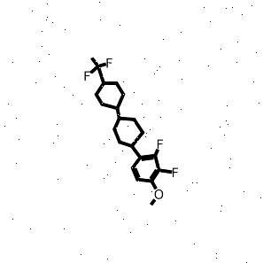 COc1ccc(C2CCC(C3CCC(C(C)(F)F)CC3)CC2)c(F)c1F